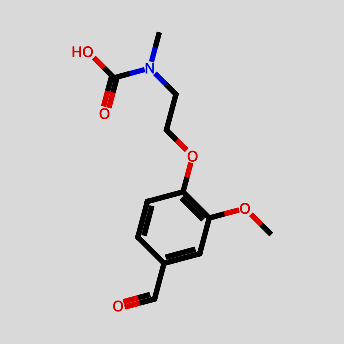 COc1cc(C=O)ccc1OCCN(C)C(=O)O